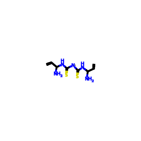 C=CC(N)NC(=S)[N]C(=S)NC(N)C=C